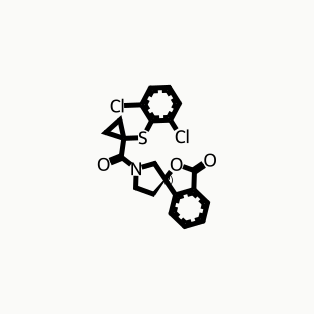 O=C1O[C@]2(CCN(C(=O)C3(Sc4c(Cl)cccc4Cl)CC3)C2)c2ccccc21